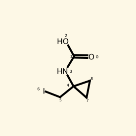 O=C(O)NC1(CI)CC1